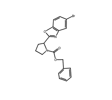 O=C(OCc1ccccc1)N1CCCC1c1nc2cc(Br)ccc2o1